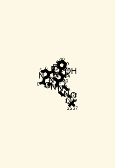 CC(C)c1nccc(C(F)F)c1-n1c(=O)nc(N2CCN(C(=O)OC(C)(C)C)C[C@@H]2C)c2cc(F)c(-c3c(O)cccc3F)nc21